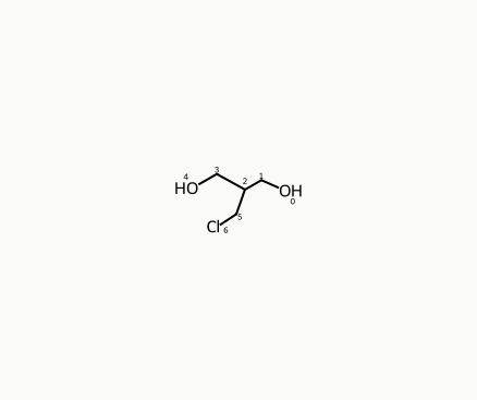 OCC(CO)CCl